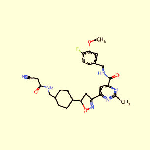 COc1cc(CNC(=O)c2cc(C3=NOC(C4CCC(CNC(=O)CC#N)CC4)C3)nc(C)n2)ccc1F